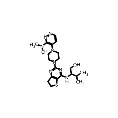 CC(C)C(CO)Nc1nc(N2CCN(c3ccnnc3N(C)C)CC2)nc2c1SCC2